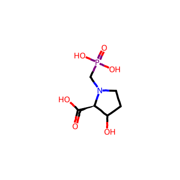 O=C(O)[C@@H]1C(O)CCN1CP(=O)(O)O